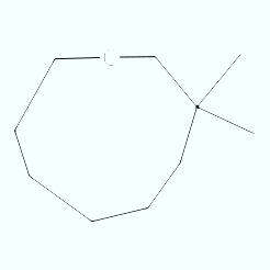 CC1(C)CCCCCCCC1